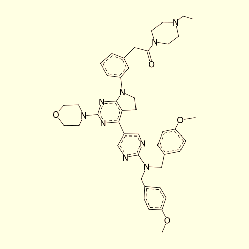 CCN1CCN(C(=O)Cc2cccc(N3CCc4c(-c5cnc(N(Cc6ccc(OC)cc6)Cc6ccc(OC)cc6)nc5)nc(N5CCOCC5)nc43)c2)CC1